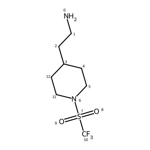 NCCC1CCN(S(=O)(=O)C(F)(F)F)CC1